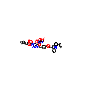 Cc1cc(COc2ccc(CC(=O)NC3(CC(=O)NO)CCN(C(=O)OC(C)(C)C)CC3)cc2)c2ccccc2n1